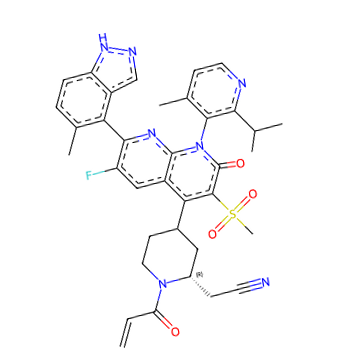 C=CC(=O)N1CCC(c2c(S(C)(=O)=O)c(=O)n(-c3c(C)ccnc3C(C)C)c3nc(-c4c(C)ccc5[nH]ncc45)c(F)cc23)C[C@@H]1CC#N